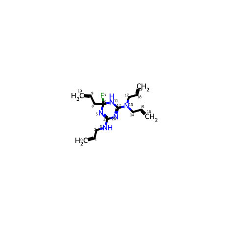 C=CCNC1=NC(F)(CC=C)NC(N(CC=C)CC=C)=N1